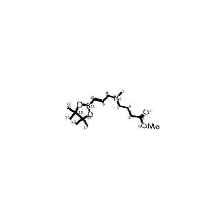 COC(=O)CCCN(C)C/C=C/B1OC(C)(C)C(C)(C)O1